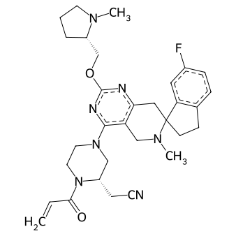 C=CC(=O)N1CCN(c2nc(OC[C@@H]3CCCN3C)nc3c2CN(C)C2(CCc4ccc(F)cc42)C3)C[C@@H]1CC#N